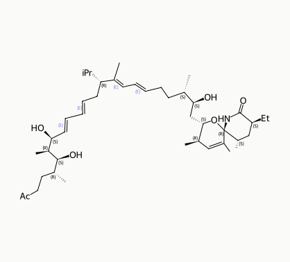 CC[C@H]1C[C@H](C)[C@@]2(NC1=O)O[C@@H](C[C@H](O)[C@@H](C)CC/C=C/C=C(\C)[C@H](C/C=C/C=C/[C@H](O)[C@H](C)[C@@H](O)[C@H](C)CCC(C)=O)C(C)C)[C@H](C)C=C2C